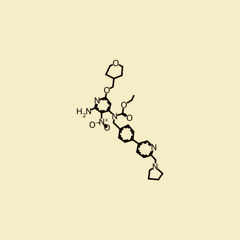 CCOC(=O)N(Cc1ccc(-c2ccc(CN3CCCC3)nc2)cc1)c1cc(OCC2CCOCC2)nc(N)c1[N+](=O)[O-]